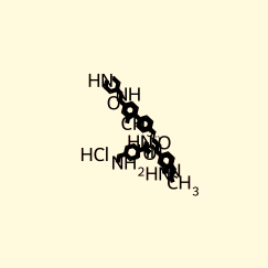 Cc1nc2ccc(NC(=O)[C@H](Cc3ccc(-c4ccc(C(=O)NC5CCNCC5)cc4C)cc3)NC(=O)C3CCC(CN)CC3)cc2[nH]1.Cl